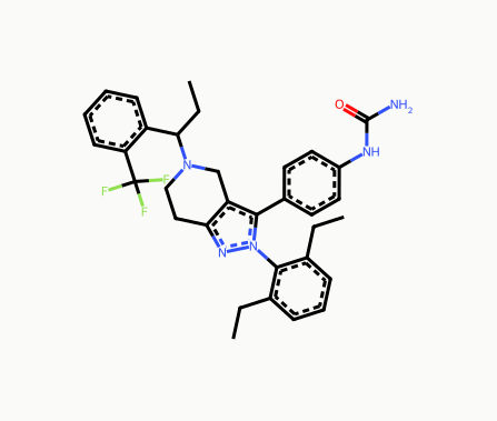 CCc1cccc(CC)c1-n1nc2c(c1-c1ccc(NC(N)=O)cc1)CN(C(CC)c1ccccc1C(F)(F)F)CC2